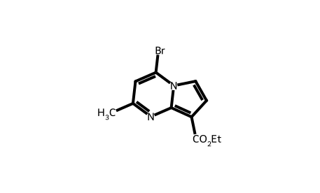 CCOC(=O)c1ccn2c(Br)cc(C)nc12